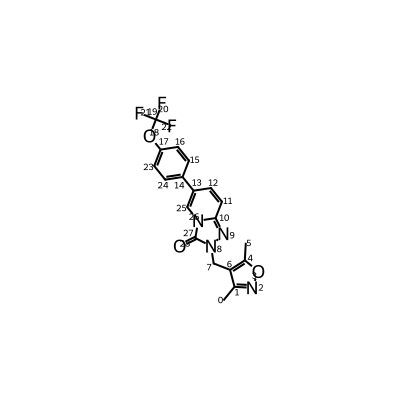 Cc1noc(C)c1Cn1nc2ccc(-c3ccc(OC(F)(F)F)cc3)cn2c1=O